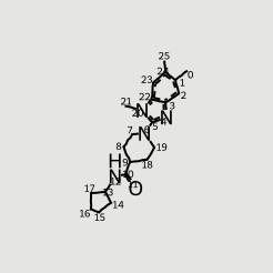 Cc1cc2nc(N3CCC(C(=O)NC4CCCC4)CC3)n(C)c2cc1C